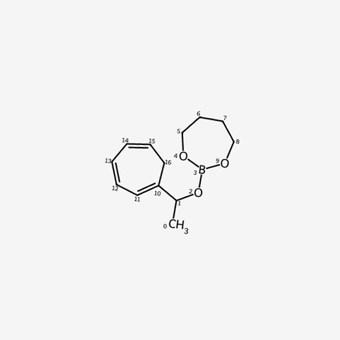 CC(OB1OCCCCO1)C1=CC=CC=CC1